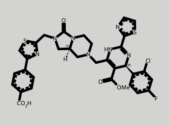 COC(=O)C1=C(CN2CCN3C(=O)N(Cc4nc(-c5ccc(C(=O)O)cc5)cs4)C[C@@H]3C2)NC(c2nccs2)=N[C@H]1c1ccc(F)cc1Cl